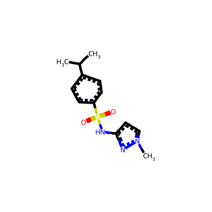 CC(C)c1ccc(S(=O)(=O)Nc2ccn(C)n2)cc1